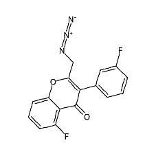 [N-]=[N+]=NCc1oc2cccc(F)c2c(=O)c1-c1cccc(F)c1